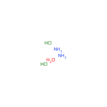 Cl.Cl.N.N.O